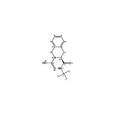 CC(C)(C)NC(=O)[C@@H]1Cc2ccccc2CN1C(=O)O